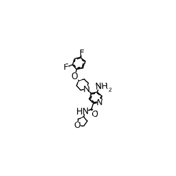 Nc1cnc(C(=O)NC2CCOC2)cc1N1CCC(Oc2ccc(F)cc2F)CC1